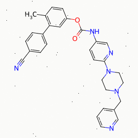 Cc1ccc(OC(=O)Nc2ccc(N3CCN(Cc4cccnc4)CC3)nc2)cc1-c1ccc(C#N)cc1